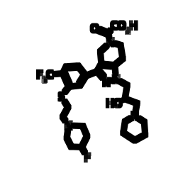 O=C(O)C(=O)N1CCc2c(c(-c3ccc(C(F)(F)F)c(SCCN4CCC(F)CC4)c3)nn2C[C@H](O)CN2CCCCC2)C1